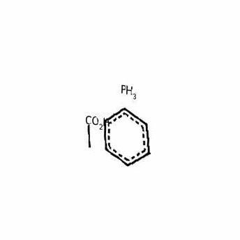 CC(=O)O.P.c1ccccc1